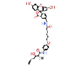 C#CCC/C(O)=C(\C#N)C(=O)Nc1ccc(OCCCCCC(=O)NCc2ccc3c(c2)C(=O)OC32c3ccc(O)cc3Oc3cc(O)ccc32)cc1